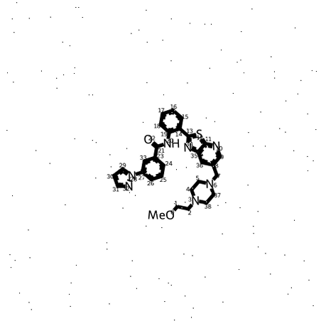 COCCN1CCN(Cc2cnc3sc(-c4ccccc4NC(=O)c4cccc(-n5cccn5)c4)nc3c2)CC1